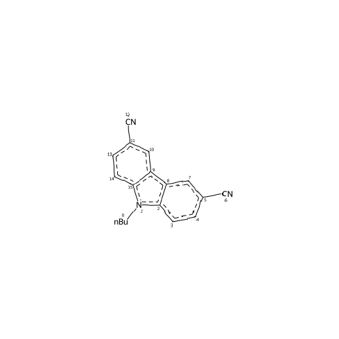 CCCCn1c2ccc(C#N)cc2c2cc(C#N)ccc21